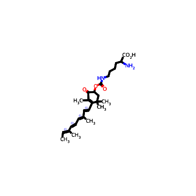 C/C=C(C)/C=C/C=C(C)/C=C/C1=C(C)C(=O)C(OC(=O)NCCCCC(N)C(=O)O)CC1(C)C